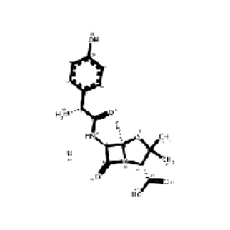 CC1(C)S[C@@H]2[C@H](NC(=O)[C@H](N)c3ccc(O)cc3)C(=O)N2[C@H]1C(=O)O.[U]